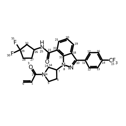 C=CC(=O)N1CCC(n2nc(-c3ccc(C(F)(F)F)cc3)c3cccc(C(=O)NC4CCC(F)(F)C4)c32)C1